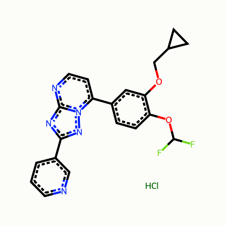 Cl.FC(F)Oc1ccc(-c2ccnc3nc(-c4cccnc4)nn23)cc1OCC1CC1